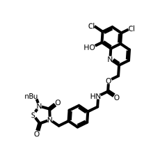 CCCCn1sc(=O)n(Cc2ccc(CNC(=O)OCc3ccc4c(Cl)cc(Cl)c(O)c4n3)cc2)c1=O